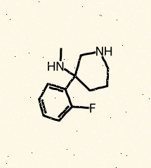 CNC1(c2ccccc2F)CCCNC1